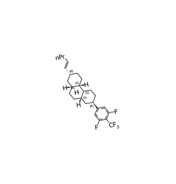 CCCC=C[C@@H]1CC[C@H]2[C@H](CC[C@H]3C[C@H](c4cc(F)c(C(F)(F)F)c(F)c4)CC[C@@H]32)C1